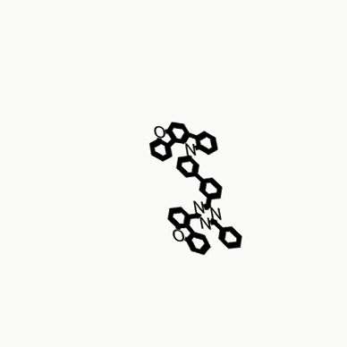 c1ccc(-c2nc(-c3cccc(-c4cccc(-n5c6ccccc6c6ccc7oc8ccccc8c7c65)c4)c3)nc(-c3cccc4oc5ccccc5c34)n2)cc1